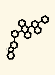 c1ccc(-c2ccc(-c3c4ccccc4c(-c4cccc(-c5ccc6c(c5)oc5ccccc56)c4)c4ccccc34)c3ccccc23)cc1